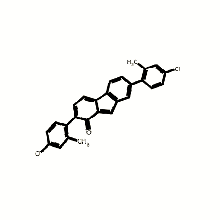 Cc1cc(Cl)ccc1C1=CC=C2C(=Cc3cc(-c4ccc(Cl)cc4C)ccc32)C1=O